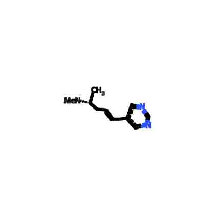 CN[C@H](C)CC=Cc1cncnc1